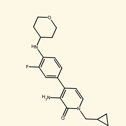 Nc1c(-c2ccc(NC3CCOCC3)c(F)c2)ccn(CC2CC2)c1=O